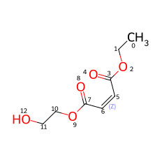 CCOC(=O)/C=C\C(=O)OCCO